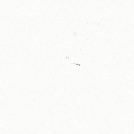 C[C@H](NC(=O)[C@@H]1CCCN1C(=O)CC(C)(C)C)c1ccc(-c2c(F)cccc2F)cc1